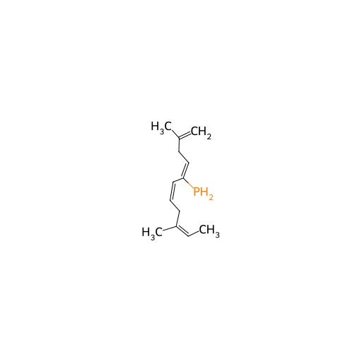 C=C(C)C/C=C(P)\C=C/C/C(C)=C\C